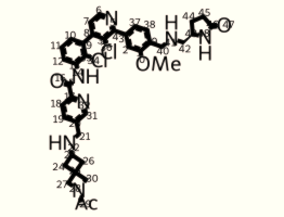 COc1cc(-c2nccc(-c3cccc(NC(=O)c4ccc(CNC5CC6(C5)CN(C(C)=O)C6)cn4)c3Cl)c2Cl)ccc1CNC[C@H]1CCC(=O)N1